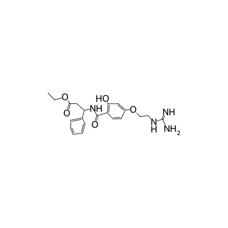 CCOC(=O)CC(NC(=O)c1ccc(OCCNC(=N)N)cc1O)c1ccccc1